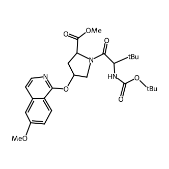 COC(=O)C1CC(Oc2nccc3cc(OC)ccc23)CN1C(=O)C(NC(=O)OC(C)(C)C)C(C)(C)C